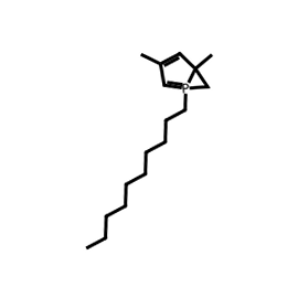 CCCCCCCCCCP12=CC(C)=CC1(C)C2